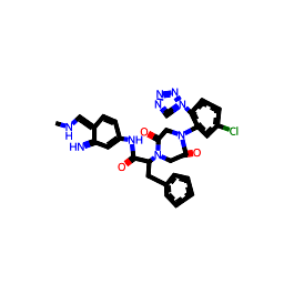 CN/C=C1/C=CC(NC(=O)C(Cc2ccccc2)N2CC(=O)N(c3cc(Cl)ccc3-n3cnnn3)CC2=O)=CC1=N